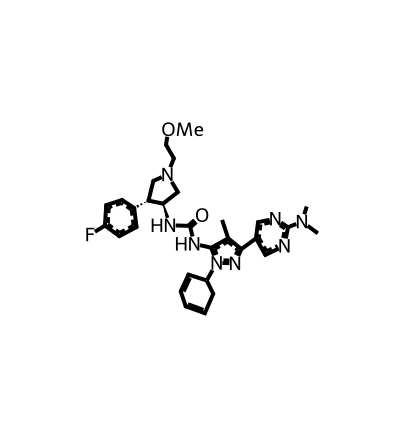 COCCN1C[C@@H](NC(=O)Nc2c(C)c(-c3cnc(N(C)C)nc3)nn2C2C=CC=CC2)[C@H](c2ccc(F)cc2)C1